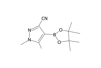 Cc1c(B2OC(C)(C)C(C)(C)O2)c(C#N)nn1C